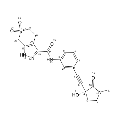 CN1CC[C@@](O)(C#Cc2cccc(NC(=O)c3n[nH]c4c3CCS(=O)(=O)C4)c2)C1=O